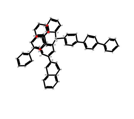 c1ccc(-c2ccc(-c3ccc(N(c4ccccc4-c4ccc(-c5ccccc5)cc4)c4cc(-c5ccc6ccccc6c5)ccc4-c4ccccc4)cc3)cc2)cc1